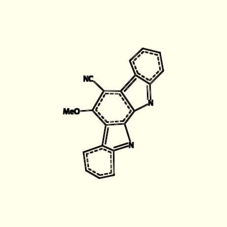 COc1c(C#N)c2c(c3c1=c1ccccc1=N3)N=c1ccccc1=2